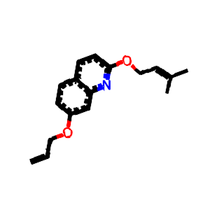 C=CCOc1ccc2ccc(OCC=C(C)C)nc2c1